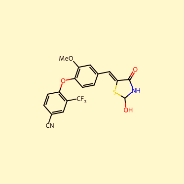 COc1cc(/C=C2\SC(O)NC2=O)ccc1Oc1ccc(C#N)cc1C(F)(F)F